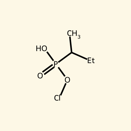 CCC(C)P(=O)(O)OCl